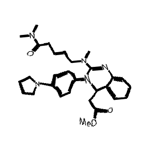 COC(=O)CC1c2ccccc2N=C(N(C)CCCCC(=O)N(C)C)N1c1ccc(N2CCCC2)cc1